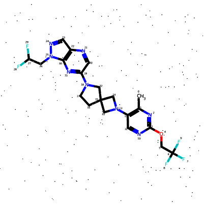 Cc1nc(OCC(F)(F)F)ncc1N1CC2(CCN(c3cnc4cnn(CC(F)F)c4n3)C2)C1